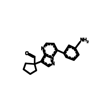 Nc1cccc(-c2ccnc3c(C4(C=O)CCCC4)cnn23)c1